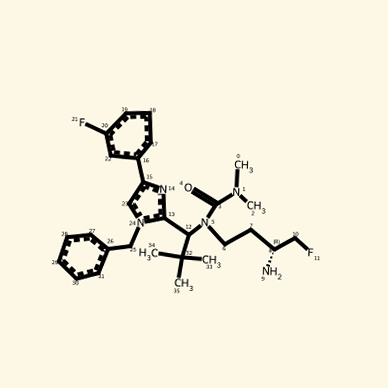 CN(C)C(=O)N(CC[C@@H](N)CF)C(c1nc(-c2cccc(F)c2)cn1Cc1ccccc1)C(C)(C)C